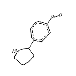 CCOc1ccc(C2CCCN2)cc1